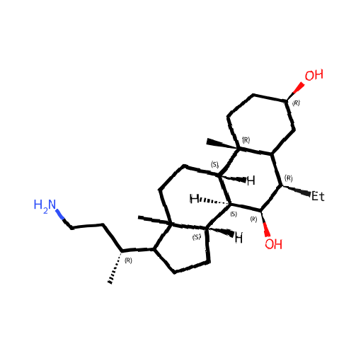 CC[C@@H]1C2C[C@H](O)CC[C@@]2(C)[C@H]2CCC3(C)C([C@H](C)CCN)CC[C@H]3[C@@H]2[C@@H]1O